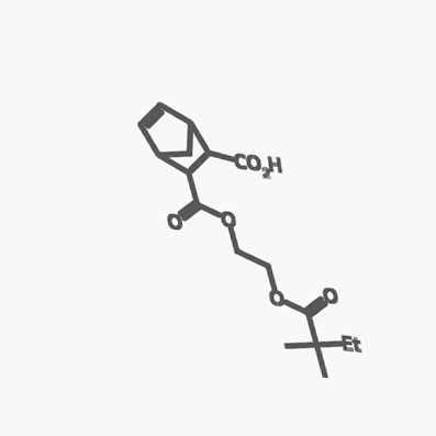 CCC(C)(C)C(=O)OCCOC(=O)C1C2C=CC(C2)C1C(=O)O